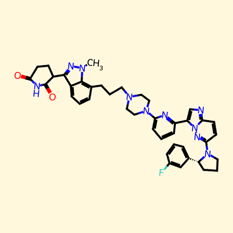 Cn1nc(C2CCC(=O)NC2=O)c2cccc(CCCN3CCN(c4cccc(-c5cnc6ccc(N7CCC[C@@H]7c7cccc(F)c7)nn56)n4)CC3)c21